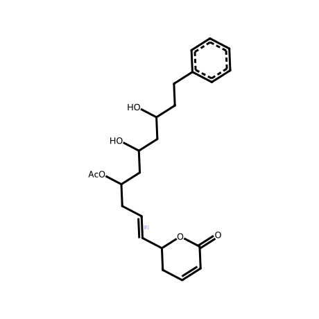 CC(=O)OC(C/C=C/C1CC=CC(=O)O1)CC(O)CC(O)CCc1ccccc1